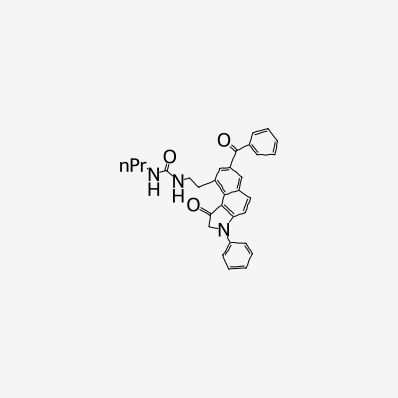 CCCNC(=O)NCCc1cc(C(=O)c2ccccc2)cc2ccc3c(c12)C(=O)CN3c1ccccc1